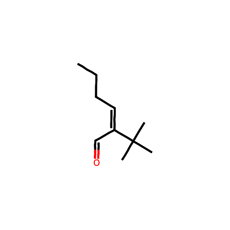 CCCC=C(C=O)C(C)(C)C